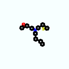 c1cc(-c2ccc(N(c3ccc(-c4ccc5oc6ccccc6c5c4)cc3)c3ccc(-c4cccc5c4sc4ccccc45)cc3)cc2)cc(-c2ccc3ccccc3c2)c1